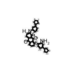 Nc1cc(C2CCCC2)ccc1Sc1cccc2c1C(=O)c1c(Sc3ccc(C4CCCC4)cc3N)cccc1C2=O